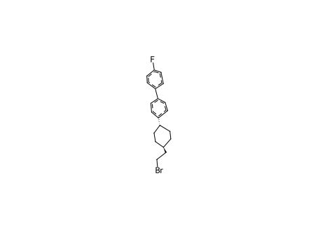 Fc1ccc(-c2ccc([C@H]3CC[C@H](CCBr)CC3)cc2)cc1